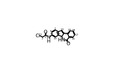 O=C(CCl)Nc1ccc2c(c1)C1NC(=O)c3ccccc3C1=C2